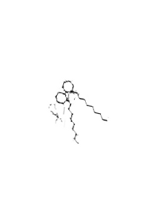 CCCCCCCCCC1(OC2(CCCCCCCCC)CCCCC2)CCCCC1.OCCO